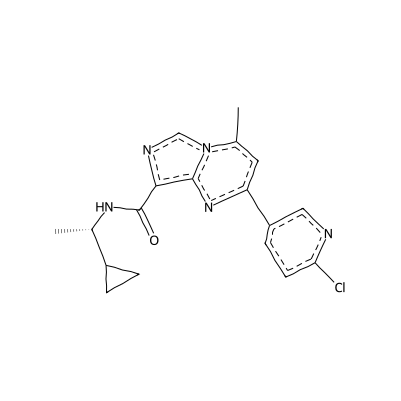 Cc1cc(-c2ccc(Cl)nc2)nc2c(C(=O)N[C@@H](C)C3CC3)ncn12